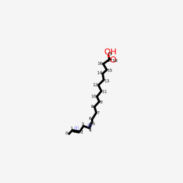 C/C=C/C/C=C\CCCCCCCCCCCC(=O)O